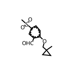 CC1(COc2ccc(S(C)(=O)=O)cc2C=O)CC1